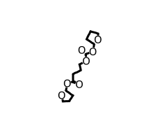 O=C(CCCOC(=O)OC1CCCO1)OC1CCCO1